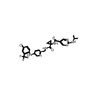 CC(C)Nc1ncc(C(=O)NC2(C(=O)NCc3ccc(Nc4ccc(Cl)cc4C(F)(F)F)cn3)CC2)cn1